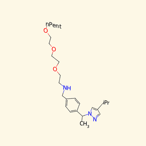 CCCCCOCCOCCOCCNCc1ccc(C(C)n2cc(C(C)C)cn2)cc1